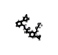 Cn1cc(-c2ccncc2/C=C/C(=O)Nc2ccc(C3CC3)c(COCC(F)(F)F)c2)cn1